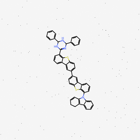 C1=Cc2c(c3ccccc3n2-c2cccc3c2sc2ccc(-c4ccc5sc6c(C7=NC(c8ccccc8)NC(c8ccccc8)N7)cccc6c5c4)cc23)CC1